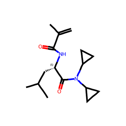 C=C(C)C(=O)N[C@@H](CC(C)C)C(=O)N(C1CC1)C1CC1